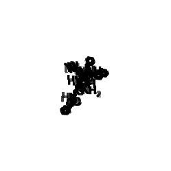 [N-]=[N+]=N[C@H]1C[C@@H](C(=O)NC(CCCCNC(=O)OCc2ccccc2)C(O)C(N)=O)N(C(=O)[C@@H](CC2CCCCC2)NC(=O)c2ccc3ccccc3c2)C1